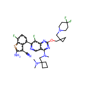 CN(CC1(N(C)C)CCC1)c1nc(OCC2(CN3CCC(F)(F)CC3)CC2)nc2c(F)c(-c3ccc(F)c4sc(N)c(C#N)c34)ncc12